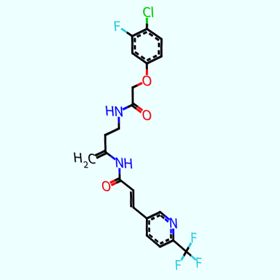 C=C(CCNC(=O)COc1ccc(Cl)c(F)c1)NC(=O)/C=C/c1ccc(C(F)(F)F)nc1